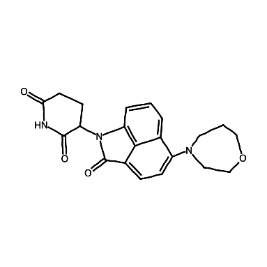 O=C1CCC(N2C(=O)c3ccc(N4CCCOCC4)c4cccc2c34)C(=O)N1